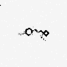 Cl.N[C@@H]1CC[C@@H](COCC2(OC(F)(F)F)CCC2)OC1